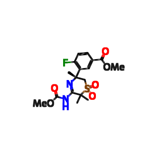 COC(=O)NC1=N[C@](C)(c2cc(C(=O)OC)ccc2F)CS(=O)(=O)C1(C)C